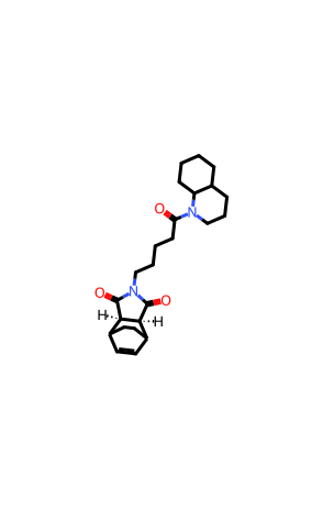 O=C1[C@@H]2C3C=CC(CC3)[C@@H]2C(=O)N1CCCCC(=O)N1CCCC2CCCCC21